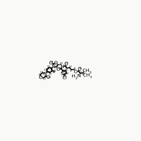 CC(C)[C@H](N)C(=O)OCCCCC(=O)N(C[C@H]1CN(c2ccc(N3CCOCC3=O)cc2F)C(=O)O1)C(=O)c1ccc(Cl)s1